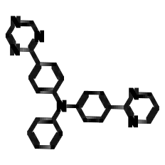 c1ccc(N(c2ccc(-c3ncccn3)cc2)c2ccc(-c3ncncn3)cc2)cc1